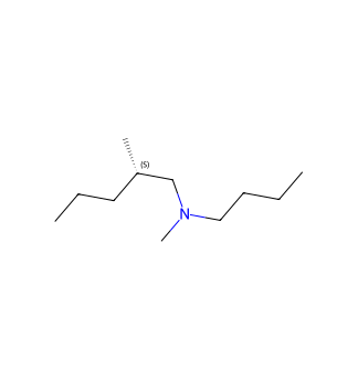 CCCCN(C)C[C@@H](C)CCC